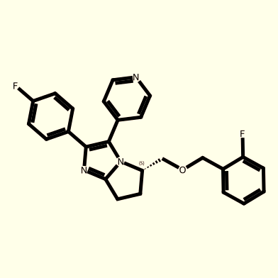 Fc1ccc(-c2nc3n(c2-c2ccncc2)[C@H](COCc2ccccc2F)CC3)cc1